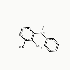 C[C@H](c1ccccc1)c1ccnc(N)c1N